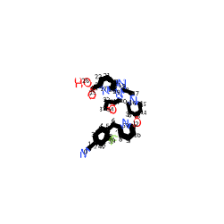 N#Cc1ccc(Cc2cccc(OC3CCN(Cc4nc5ccc(C(=O)O)nc5n4CC4CCO4)CC3)n2)c(F)c1